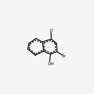 Oc1c(Br)cc(Cl)c2ccccc12